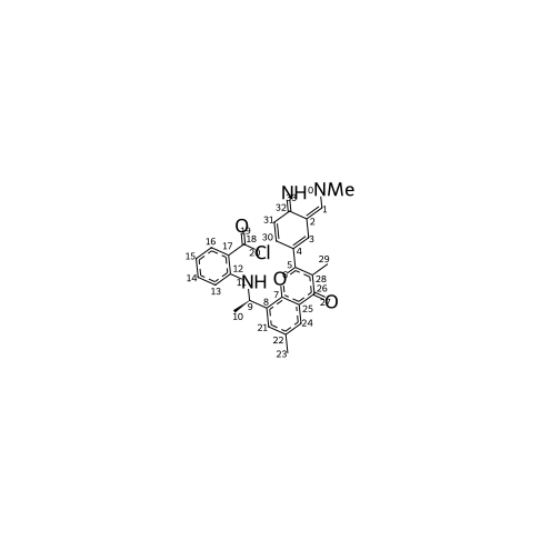 CN/C=C1/C=C(c2oc3c([C@@H](C)Nc4ccccc4C(=O)Cl)cc(C)cc3c(=O)c2C)C=CC1=N